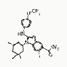 Cc1cc2c(cc1C(N)=O)nc(Nc1ccc(OC(F)(F)F)cc1)n2[C@@H]1C[C@H](C)CC(C)(C)C1